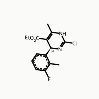 CCOC(=O)C1=C(C)NC(Cl)=N[C@H]1c1cccc(F)c1C